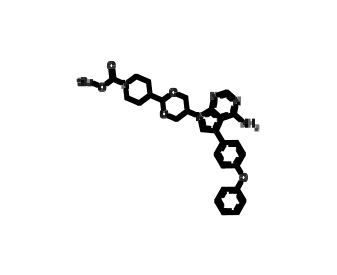 CC(C)(C)OC(=O)N1CCC(C2OCC(n3cc(-c4ccc(Oc5ccccc5)cc4)c4c(N)ncnc43)CO2)CC1